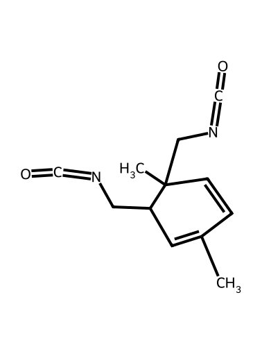 CC1=CC(CN=C=O)C(C)(CN=C=O)C=C1